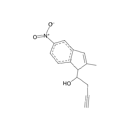 C#CCC(O)C1C(C)=Cc2cc([N+](=O)[O-])ccc21